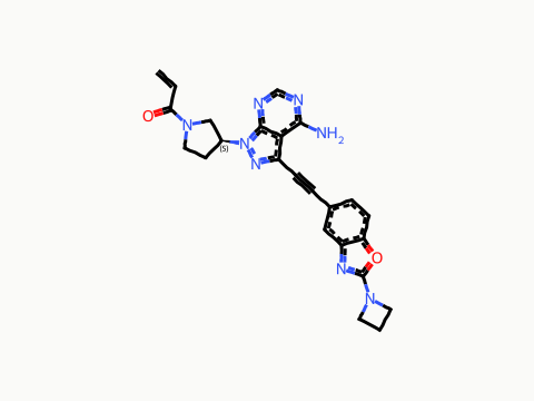 C=CC(=O)N1CC[C@H](n2nc(C#Cc3ccc4oc(N5CCC5)nc4c3)c3c(N)ncnc32)C1